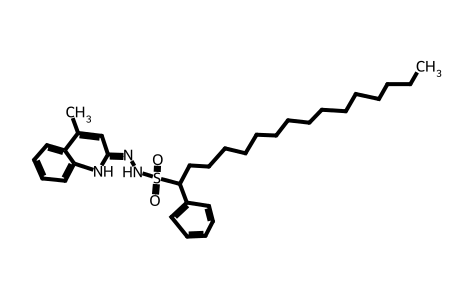 CCCCCCCCCCCCCCCC(c1ccccc1)S(=O)(=O)NN=c1cc(C)c2ccccc2[nH]1